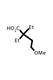 CCC(CC)(CCOC)C(=O)O